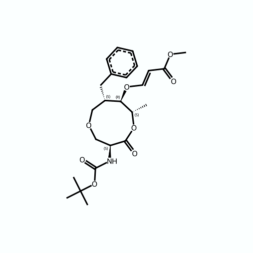 COC(=O)C=CO[C@@H]1[C@@H](Cc2ccccc2)COC[C@H](NC(=O)OC(C)(C)C)C(=O)O[C@H]1C